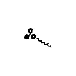 Br.CCCCCCCC(=O)O.c1ccc(P(c2ccccc2)c2ccccc2)cc1